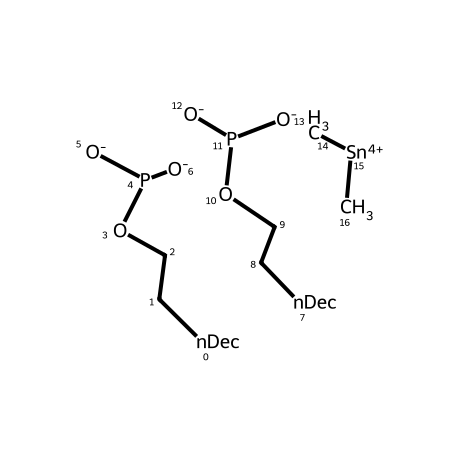 CCCCCCCCCCCCOP([O-])[O-].CCCCCCCCCCCCOP([O-])[O-].[CH3][Sn+4][CH3]